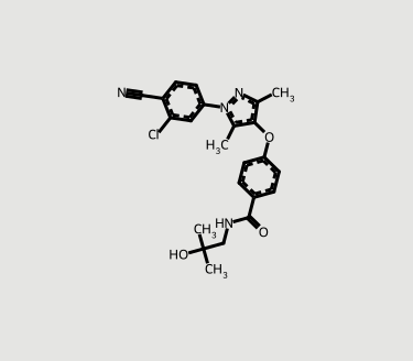 Cc1nn(-c2ccc(C#N)c(Cl)c2)c(C)c1Oc1ccc(C(=O)NCC(C)(C)O)cc1